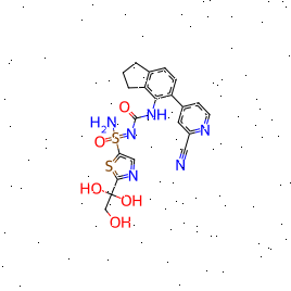 N#Cc1cc(-c2ccc3c(c2NC(=O)N=S(N)(=O)c2cnc(C(O)(O)CO)s2)CCC3)ccn1